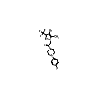 Cc1c(Br)c(C(F)(F)F)nn1CC(=O)N1CCN(c2ccc(F)cc2)CC1